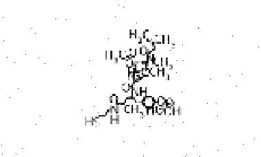 CC[C@H](C)CC(=O)N(C)[C@H](C[C@@H](OC(C)=O)c1nc(C(=O)N[C@@H](Cc2ccc(OP(=O)(O)O)cc2)CC(C)C(=O)NCCCS)cs1)C(C)C